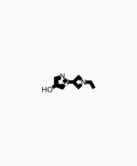 CCN1CC(n2cc(O)cn2)C1